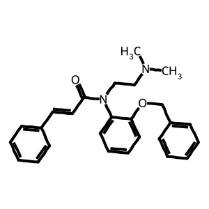 CN(C)CCN(C(=O)C=Cc1ccccc1)c1ccccc1OCc1ccccc1